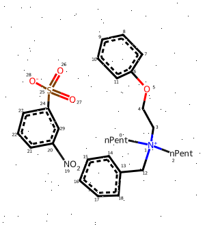 CCCCC[N+](CCCCC)(CCOc1ccccc1)Cc1ccccc1.O=[N+]([O-])c1cccc(S(=O)(=O)[O-])c1